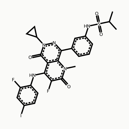 CC(C)S(=O)(=O)Nc1cccc(-c2nn(C3CC3)c(=O)c3c(Nc4ccc(I)cc4F)c(F)c(=O)n(C)c23)c1